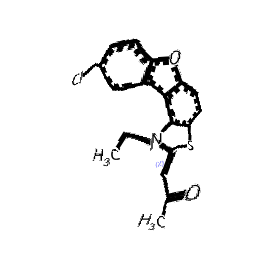 CCN1/C(=C/C(C)=O)Sc2ccc3oc4ccc(Cl)cc4c3c21